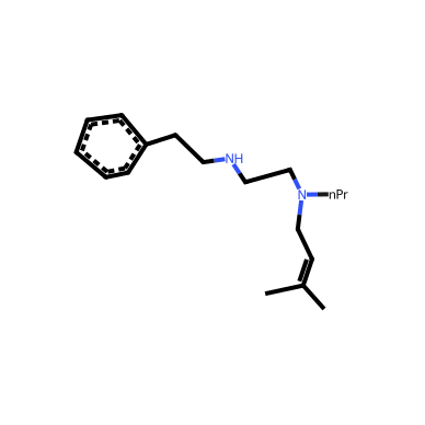 CCCN(CC=C(C)C)CCNCCc1ccccc1